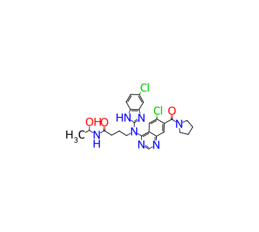 CC(O)NC(=O)CCCN(c1nc2cc(Cl)ccc2[nH]1)c1ncnc2cc(C(=O)N3CCCC3)c(Cl)cc12